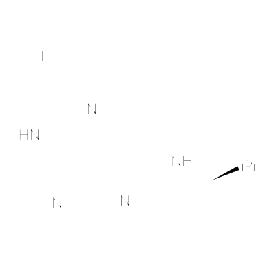 CC(C)[C@@H](C)Nc1ncnc2[nH]c(F)nc12